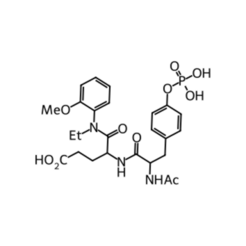 CCN(C(=O)C(CCC(=O)O)NC(=O)C(Cc1ccc(OP(=O)(O)O)cc1)NC(C)=O)c1ccccc1OC